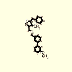 COc1cccc(-c2cccc(COCC3=NOC(Cc4ccccc4)C3C)c2)c1